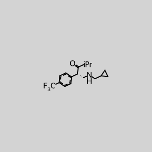 CC(C)C(=O)[C@H](CNCC1CC1)c1ccc(C(F)(F)F)cc1